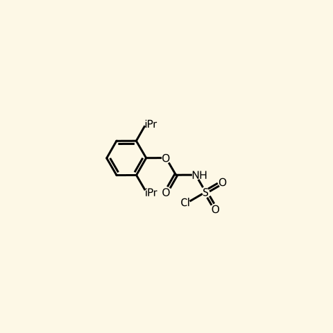 CC(C)c1cccc(C(C)C)c1OC(=O)NS(=O)(=O)Cl